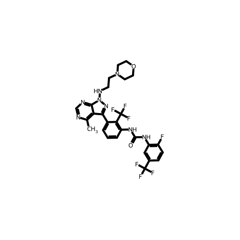 Cc1ncnc2c1c(-c1cccc(NC(=O)Nc3cc(C(F)(F)F)ccc3F)c1C(F)(F)F)nn2NCCN1CCOCC1